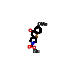 COc1ccc2c(c1)C(=O)CC1(CCN(C(=O)OC(C)(C)C)CC1)S2